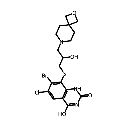 O=c1nc(O)c2cc(Cl)c(Br)c(SCC(O)CN3CCC4(CC3)COC4)c2[nH]1